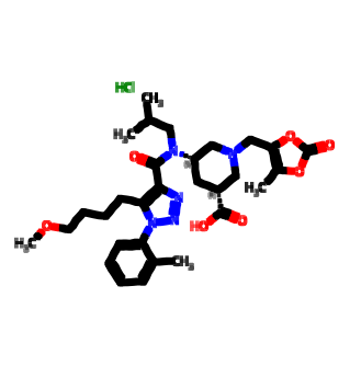 COCCCCc1c(C(=O)N(CC(C)C)[C@H]2C[C@@H](C(=O)O)CN(Cc3oc(=O)oc3C)C2)nnn1-c1ccccc1C.Cl